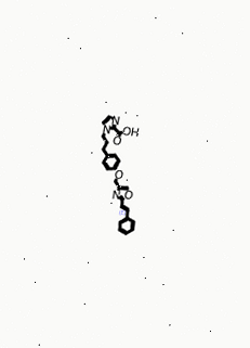 O=C(O)c1nccn1CCCc1ccc(OCc2coc(/C=C/c3ccccc3)n2)cc1